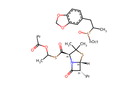 CC(OC(=O)C(C)C)SC(=O)[C@@H]1N2C(=O)[C@@H](C(C)C)[C@H]2SC1(C)C.CCCCCCCC[S+]([O-])C(C)Cc1ccc2c(c1)OCO2